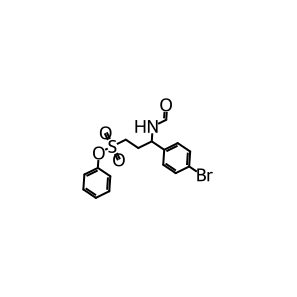 O=CNC(CCS(=O)(=O)Oc1ccccc1)c1ccc(Br)cc1